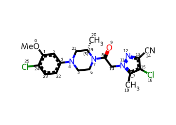 COc1cc(N2CCN(C(=O)Cn3nc(C#N)c(Cl)c3C)[C@@H](C)C2)ccc1Cl